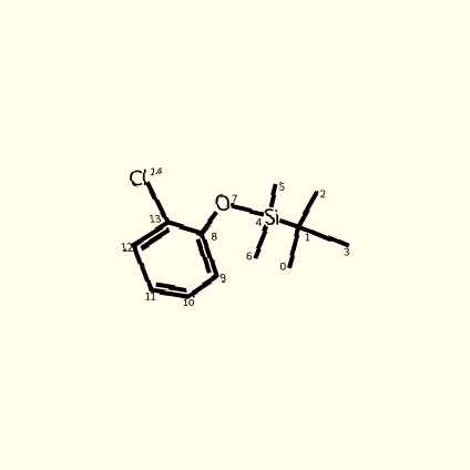 CC(C)(C)[Si](C)(C)Oc1c[c]ccc1Cl